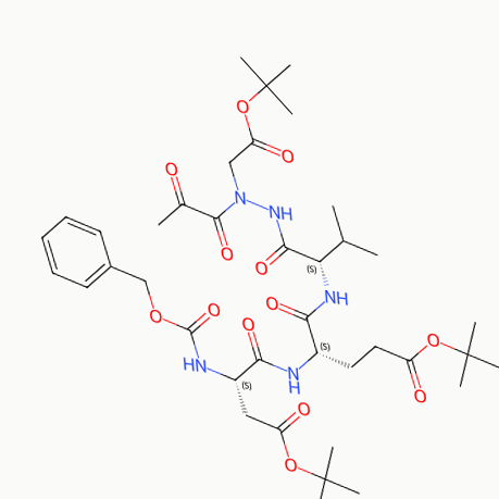 CC(=O)C(=O)N(CC(=O)OC(C)(C)C)NC(=O)[C@@H](NC(=O)[C@H](CCC(=O)OC(C)(C)C)NC(=O)[C@H](CC(=O)OC(C)(C)C)NC(=O)OCc1ccccc1)C(C)C